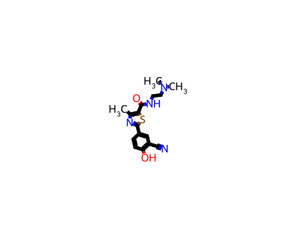 Cc1nc(-c2ccc(O)c(C#N)c2)sc1C(=O)NCCN(C)C